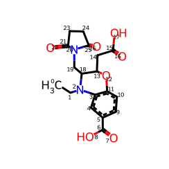 CCN1c2cc(C(=O)O)ccc2OC(CC(=O)O)C1CN1C(=O)CCC1=O